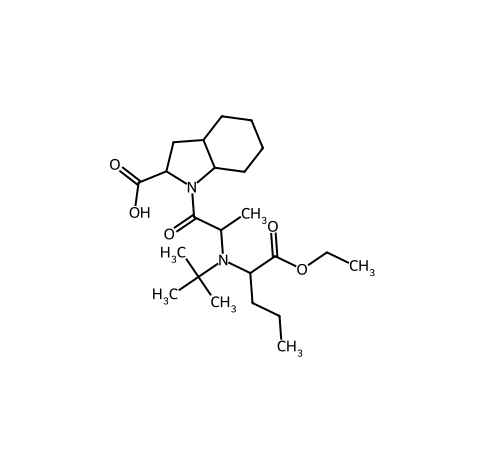 CCCC(C(=O)OCC)N(C(C)C(=O)N1C(C(=O)O)CC2CCCCC21)C(C)(C)C